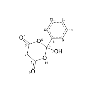 O=C1CC(=O)OC(O)(c2ccccc2)O1